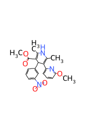 COC(=O)C1=C(C)NC(C)=C(c2cccc(OC)n2)C1c1cccc([N+](=O)[O-])c1